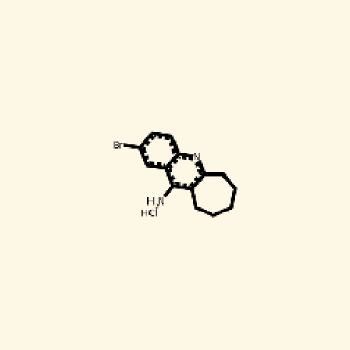 Cl.Nc1c2c(nc3ccc(Br)cc13)CCCCC2